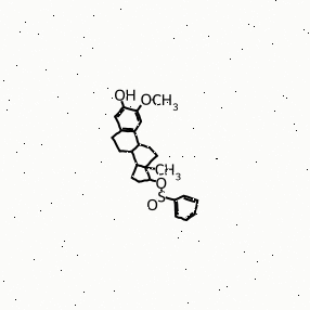 COc1cc2c(cc1O)CCC1C2CCC2(C)C(OS(=O)c3ccccc3)CCC12